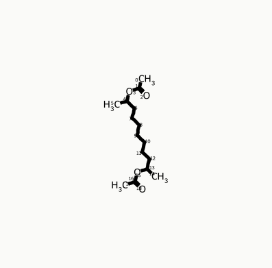 CC(=O)OC(C)CCCCCCCC(C)OC(C)=O